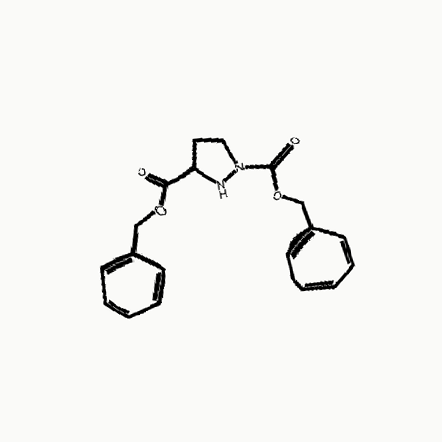 O=C(OCc1ccccc1)C1CCN(C(=O)OCc2ccccc2)N1